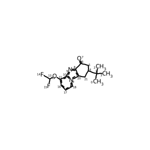 CC(C)(C)C1CC(=O)c2nc3c(OC(F)F)cccn3c2C1